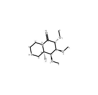 CO[C@@H]1[C@H](OC)[C@@H](OC)C(=O)N2CCSC[C@H]12